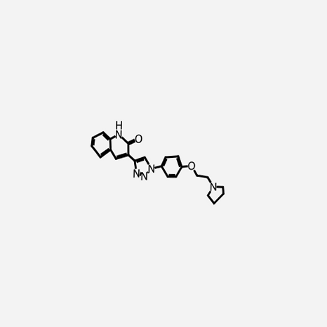 O=c1[nH]c2ccccc2cc1-c1cn(-c2ccc(OCCN3CCCC3)cc2)nn1